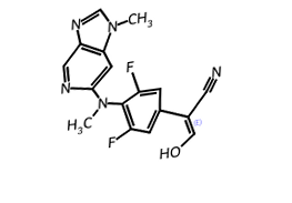 CN(c1cc2c(cn1)ncn2C)c1c(F)cc(/C(C#N)=C\O)cc1F